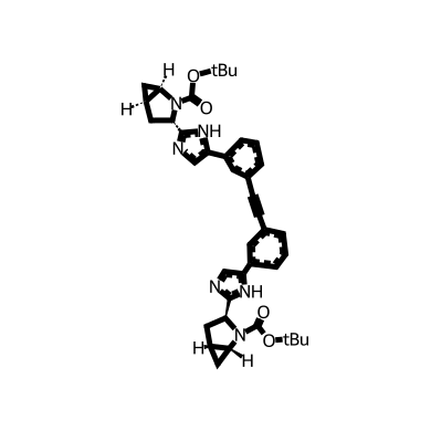 CC(C)(C)OC(=O)N1[C@@H]2C[C@@H]2C[C@H]1c1ncc(-c2cccc(C#Cc3cccc(-c4cnc([C@@H]5C[C@H]6C[C@H]6N5C(=O)OC(C)(C)C)[nH]4)c3)c2)[nH]1